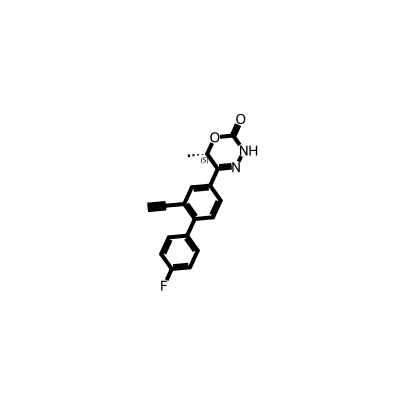 C#Cc1cc(C2=NNC(=O)O[C@H]2C)ccc1-c1ccc(F)cc1